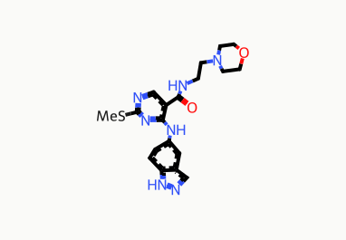 CSc1ncc(C(=O)NCCN2CCOCC2)c(Nc2ccc3[nH]ncc3c2)n1